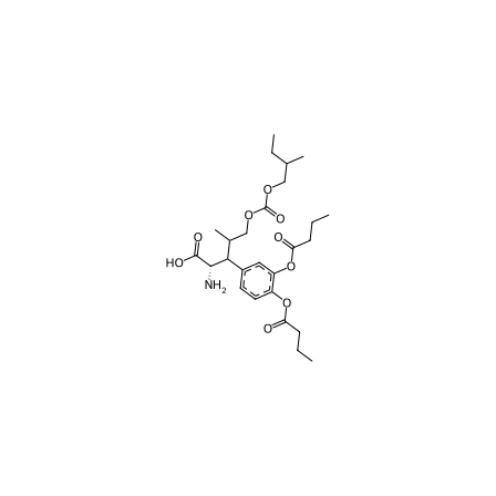 CCCC(=O)Oc1ccc(C(C(C)COC(=O)OCC(C)CC)[C@H](N)C(=O)O)cc1OC(=O)CCC